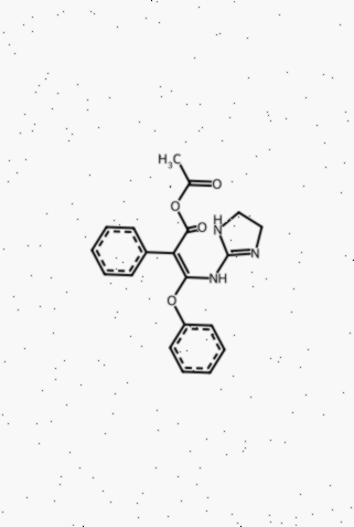 CC(=O)OC(=O)C(=C(NC1=NCCN1)Oc1ccccc1)c1ccccc1